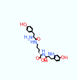 N[C@@H](Cc1ccc(O)cc1)C(=O)NCCCC[C@H](NC(=O)[C@@H](N)Cc1ccc(O)cc1)C(=O)O